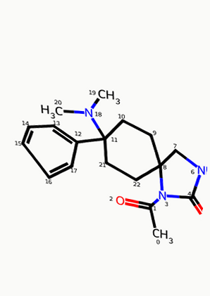 CC(=O)N1C(=O)NCC12CCC(c1ccccc1)(N(C)C)CC2